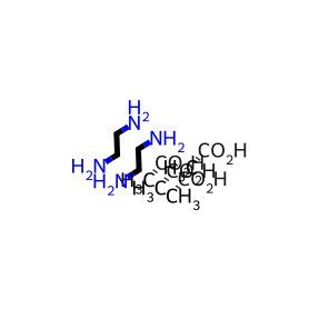 CC(=O)O.CC(=O)O.CC(=O)O.CC(=O)O.NCCN.NCCN